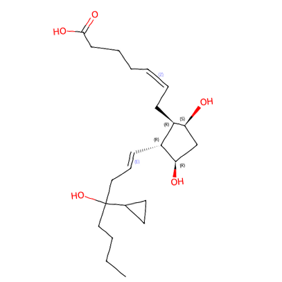 CCCCC(O)(C/C=C/[C@@H]1[C@@H](C/C=C\CCCC(=O)O)[C@@H](O)C[C@H]1O)C1CC1